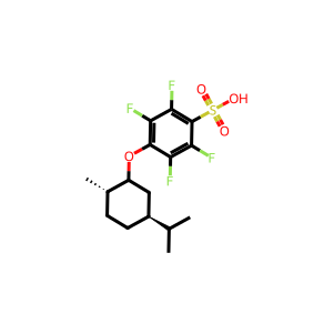 CC(C)[C@H]1CC[C@H](C)C(Oc2c(F)c(F)c(S(=O)(=O)O)c(F)c2F)C1